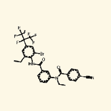 CCc1cc(C(F)(C(F)(F)F)C(F)(F)F)cc(Br)c1NC(=O)c1cccc(N(CC)C(=O)c2ccc(C#N)cc2)c1